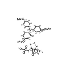 CC1(C)C2CCC1(CS(=O)(=O)[O-])C(=O)C2.COc1ccc([S+](c2ccc(OC)cc2)c2ccc(OC)cc2)cc1